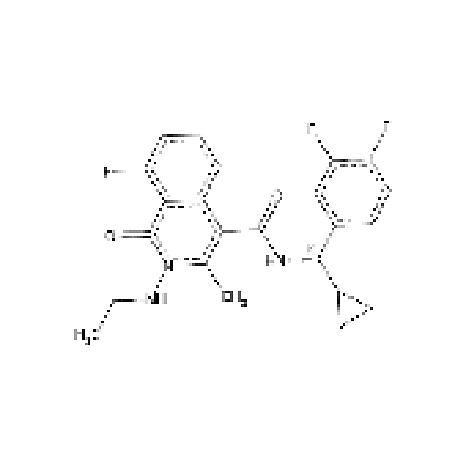 CCNn1c(C)c(C(=O)N[C@H](c2ccc(F)c(F)c2)C2CC2)c2cccc(F)c2c1=O